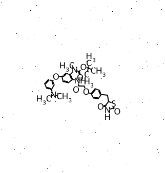 CN(C)c1cccc(Oc2ccc(NC(=O)COc3ccc(CC4SC(=O)NC4=O)cc3)c(N(C)C(=O)OC(C)(C)C)c2)c1